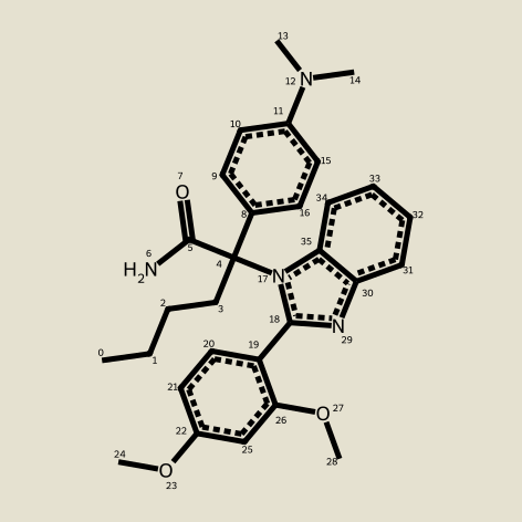 CCCCC(C(N)=O)(c1ccc(N(C)C)cc1)n1c(-c2ccc(OC)cc2OC)nc2ccccc21